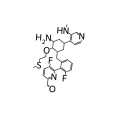 CNc1cnccc1C1CC(N)C(OCCSC)C(Cc2cccc(F)c2-c2nc(C=O)ccc2F)C1